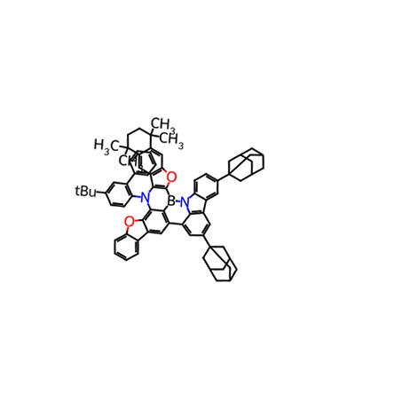 CC(C)(C)c1ccc(N2c3c(oc4cc5c(cc34)C(C)(C)CCC5(C)C)B3c4c(cc5c(oc6ccccc65)c42)-c2cc(C45CC6CC(CC(C6)C4)C5)cc4c5cc(C67CC8CC(CC(C8)C6)C7)ccc5n3c24)c(-c2ccccc2)c1